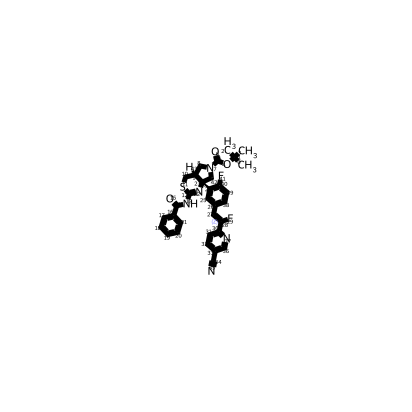 CC(C)(C)OC(=O)N1C[C@H]2CSC(NC(=O)c3ccccc3)=N[C@@]2(c2cc(/C=C(\F)c3ccc(C#N)cn3)ccc2F)C1